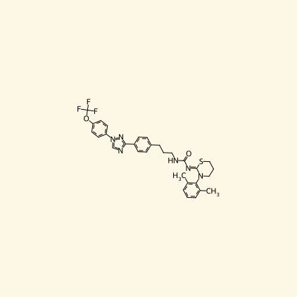 Cc1cccc(C)c1N1CCCS/C1=N\C(=O)NCCCc1ccc(-c2ncn(-c3ccc(OC(F)(F)F)cc3)n2)cc1